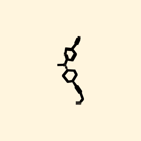 CN(c1ccc(C#N)cn1)[C@H]1CC[C@H](C#CCO)CC1